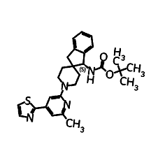 Cc1cc(-c2nccs2)cc(N2CCC3(CC2)Cc2ccccc2[C@H]3NC(=O)OC(C)(C)C)n1